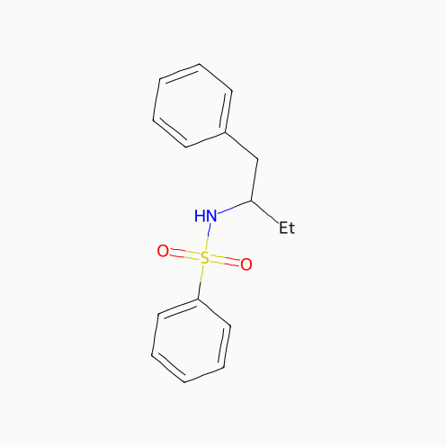 [CH2]CC(Cc1ccccc1)NS(=O)(=O)c1ccccc1